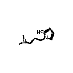 CN(C)CCCn1ccc[siH]1